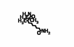 CC(CCCCCCC(N)=O)C(C)(C)C(N)=O